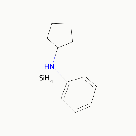 [SiH4].c1ccc(NC2CCCC2)cc1